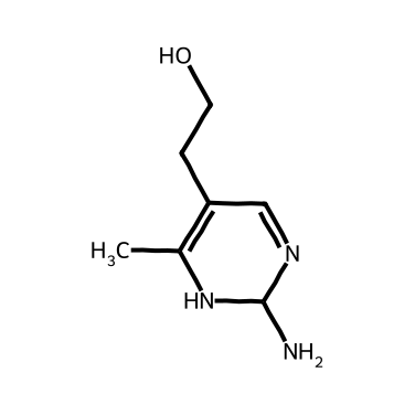 CC1=C(CCO)C=NC(N)N1